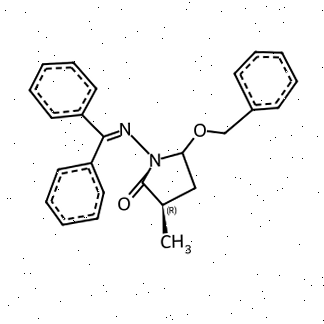 C[C@@H]1CC(OCc2ccccc2)N(N=C(c2ccccc2)c2ccccc2)C1=O